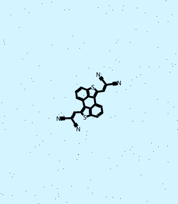 N#CC(C#N)=Cc1sc2cccc3c4c(C=C(C#N)C#N)sc5cccc(c1c23)c54